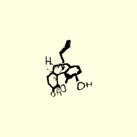 C=CCN1CC[C@]23c4c5ccc(O)c4O[C@H]2C(=O)CC[C@@]3(C)[C@H]1C5